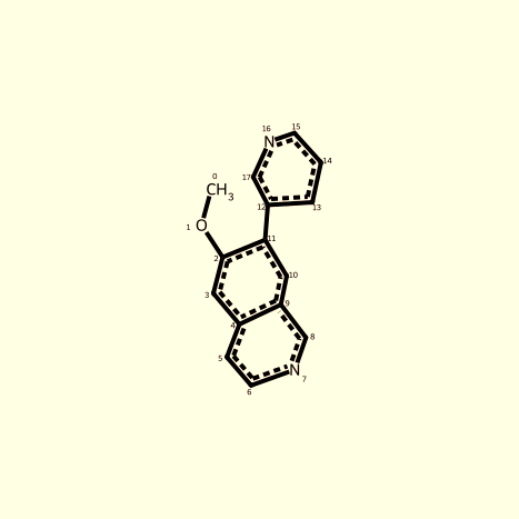 COc1cc2ccncc2cc1-c1cccnc1